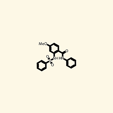 COc1ccc(C(=O)Nc2ccccc2)c(NS(=O)(=O)c2ccccc2)c1